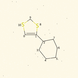 C1=C(C2CCCCC2)SCS1